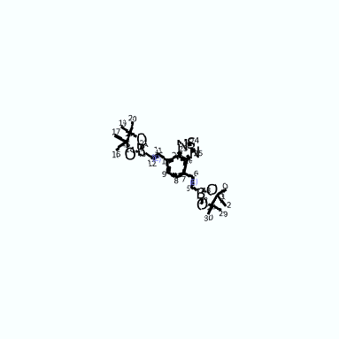 CC1(C)OB(/C=C/c2ccc(/C=C/B3OC(C)(C)C(C)(C)O3)c3nsnc23)OC1(C)C